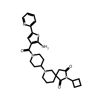 Nc1sc(-c2ccccn2)cc1C(=O)N1CCC(N2CCCC3(CC(=O)N(C4CCC4)C3=O)C2)CC1